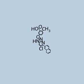 Cc1ccc(Oc2nc3nc(C4=CC5CC=CC=C5C=C4)c(Cl)cc3[nH]2)cc1C(=O)O